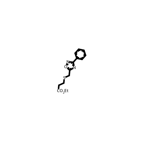 CCOC(=O)CCSCc1nc(-c2ccccc2)no1